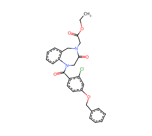 CCOC(=O)CN1Cc2ccccc2N(C(=O)c2ccc(OCc3ccccc3)cc2Cl)CC1=O